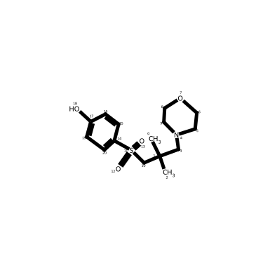 CC(C)(CN1CCOCC1)CS(=O)(=O)c1ccc(O)cc1